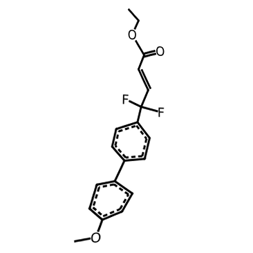 CCOC(=O)C=CC(F)(F)c1ccc(-c2ccc(OC)cc2)cc1